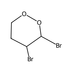 BrC1CCOOC1Br